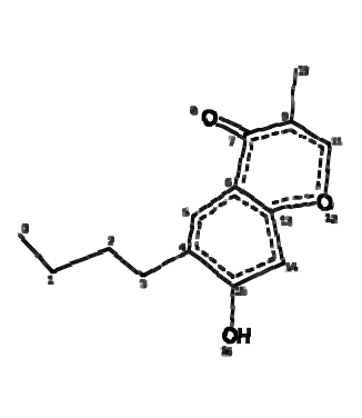 CCCCc1cc2c(=O)c(C)coc2cc1O